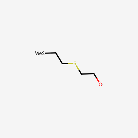 CSCCSCC[O]